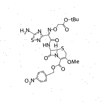 COC1=C(C(=O)OCc2ccc([N+](=O)[O-])cc2)N2C(=O)C(NC(=O)/C(=N\OCC(=O)OC(C)(C)C)c3nsc(N)n3)[C@H]2SC1